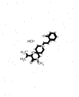 CC(C)C1OC2(CCN(CCc3ccccc3F)CC2)CN(C)C1=O.Cl